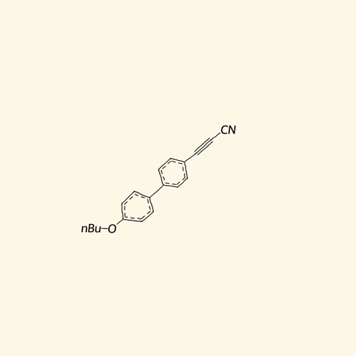 CCCCOc1ccc(-c2ccc(C#CC#N)cc2)cc1